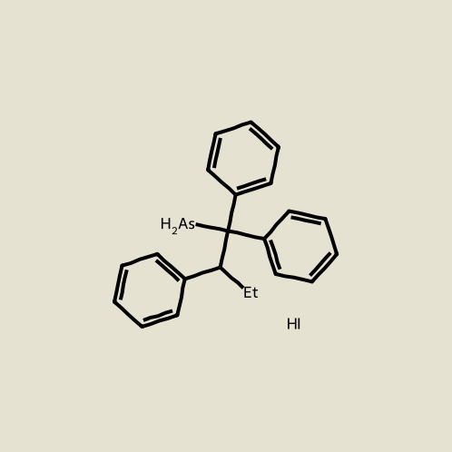 CCC(c1ccccc1)C([AsH2])(c1ccccc1)c1ccccc1.I